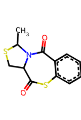 CC1SCC2C(=O)Sc3ccccc3C(=O)N12